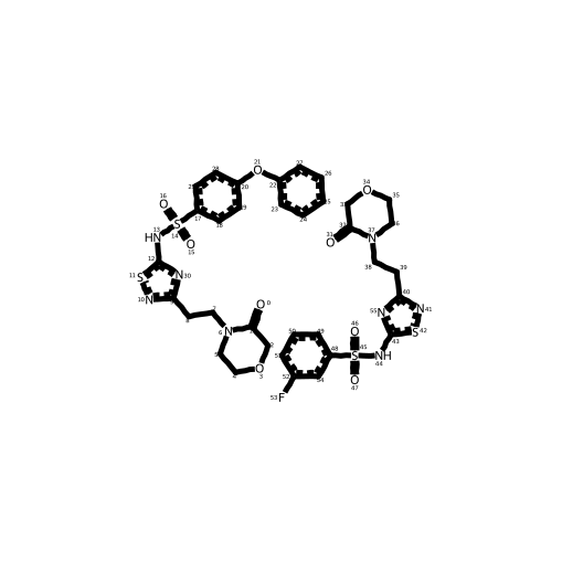 O=C1COCCN1CCc1nsc(NS(=O)(=O)c2ccc(Oc3ccccc3)cc2)n1.O=C1COCCN1CCc1nsc(NS(=O)(=O)c2cccc(F)c2)n1